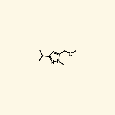 COCc1cc(C(C)C)nn1C